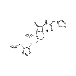 O=C(Cn1cnnn1)NC1C(=O)N2C(C(=O)O)=C(CSc3nnnn3CS(=O)(=O)O)CS[C@H]12